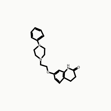 O=C1CCc2ccc(OCCN3CCN(c4ccccc4)CC3)cc2N1